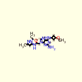 CCn1nc(C)cc1NC(=O)Cn1cnc2c(NC3CC(OC)C3)nc(N)nc21